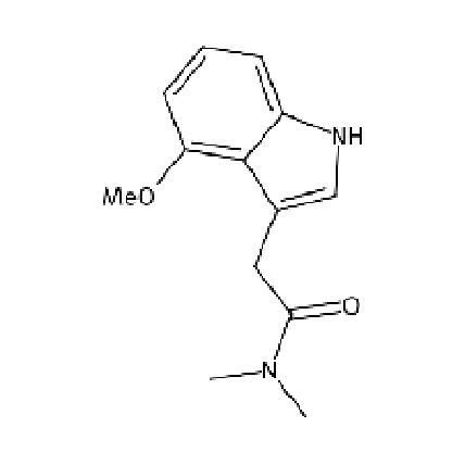 COc1cccc2[nH]cc(CC(=O)N(C)C)c12